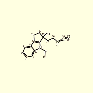 CCn1c2c(c3ccccc31)CCC2(C)CCN=C=O